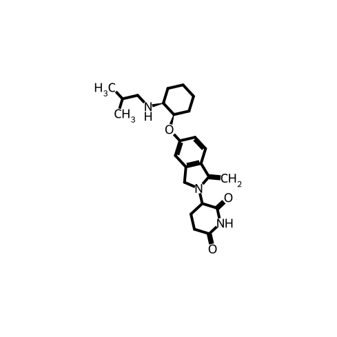 C=C1c2ccc(O[C@@H]3CCCC[C@@H]3NCC(C)C)cc2CN1C1CCC(=O)NC1=O